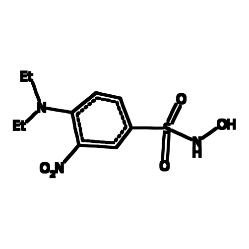 CCN(CC)c1ccc(S(=O)(=O)NO)cc1[N+](=O)[O-]